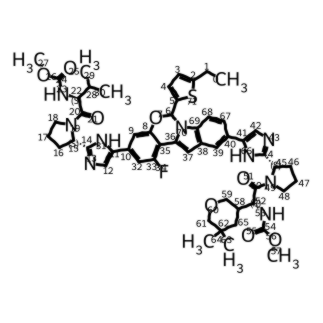 CCc1ccc(C2Oc3cc(-c4cnc([C@@H]5CCCN5C(=O)[C@@H](NC(=O)OC)C(C)C)[nH]4)cc(F)c3-c3cc4cc(-c5cnc([C@@H]6CCCN6C(=O)[C@H](NC(=O)OC)C6COCC(C)(C)C6)[nH]5)ccc4n32)s1